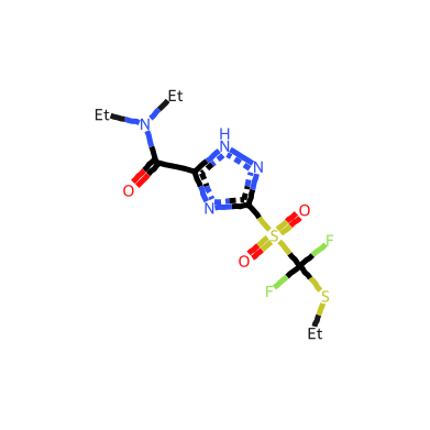 CCSC(F)(F)S(=O)(=O)c1n[nH]c(C(=O)N(CC)CC)n1